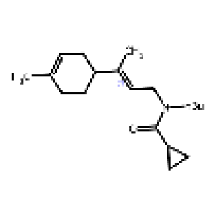 CCCCN(C/C=C(\C)C1CC=C(C)CC1)C(=O)C1CC1